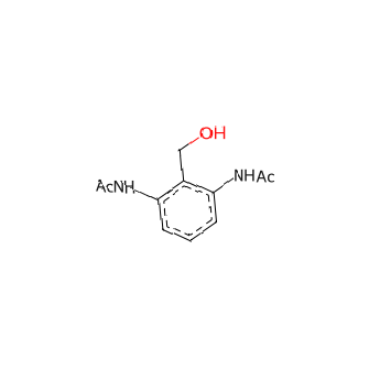 CC(=O)Nc1cccc(NC(C)=O)c1CO